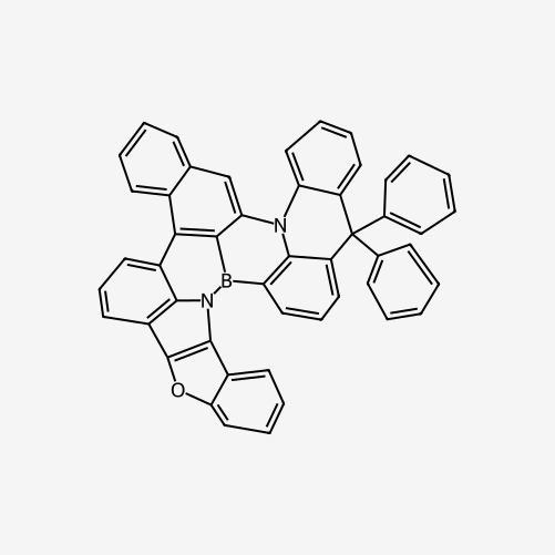 c1ccc(C2(c3ccccc3)c3ccccc3N3c4cc5ccccc5c5c4B(c4cccc2c43)n2c3c-5cccc3c3oc4ccccc4c32)cc1